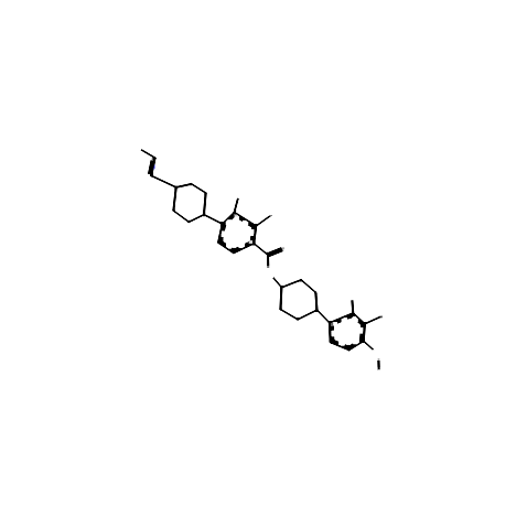 C/C=C/C1CCC(c2ccc(C(=O)OC3CCC(c4ccc(OCC)c(F)c4F)CC3)c(F)c2F)CC1